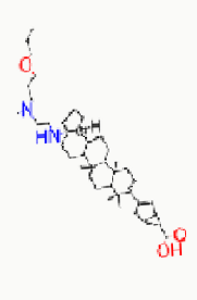 CCCOCCCN(C)CCNC12CCC[C@@H]1C1CCC3C(C)(CCC4C(C)(C)C(C5=CC6C(C5)C6C(=O)O)=CCC43C)C1CC2